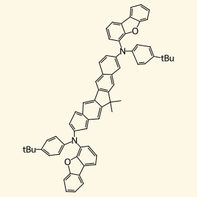 CC(C)(C)c1ccc(N(c2ccc3cc4c(cc3c2)C(C)(C)c2cc3cc(N(c5ccc(C(C)(C)C)cc5)c5cccc6c5oc5ccccc56)ccc3cc2-4)c2cccc3c2oc2ccccc23)cc1